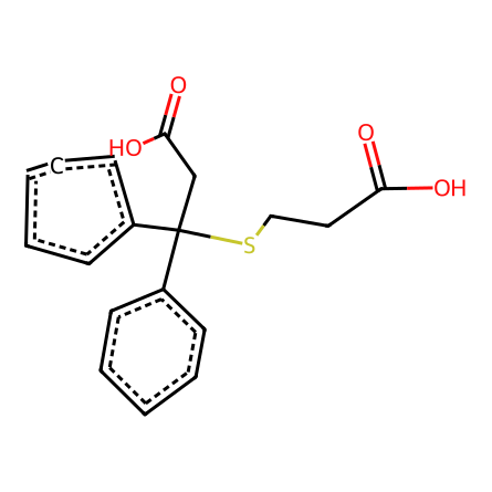 O=C(O)CCSC(CC(=O)O)(c1ccccc1)c1ccccc1